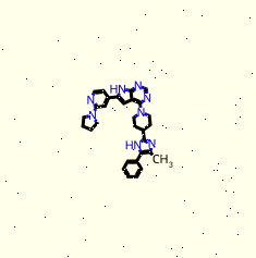 Cc1nc(C2CCN(c3ncnc4[nH]c(-c5ccnc(N6CCCC6)c5)cc34)CC2)[nH]c1-c1ccccc1